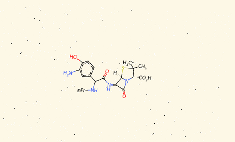 CCCNC(C(=O)NC1C(=O)N2[C@@H]1SC(C)(C)[C@@H]2C(=O)O)c1ccc(O)c(N)c1